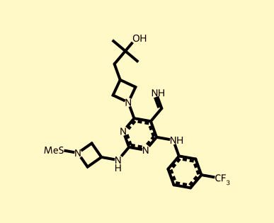 CSN1CC(Nc2nc(Nc3cccc(C(F)(F)F)c3)c(C=N)c(N3CC(CC(C)(C)O)C3)n2)C1